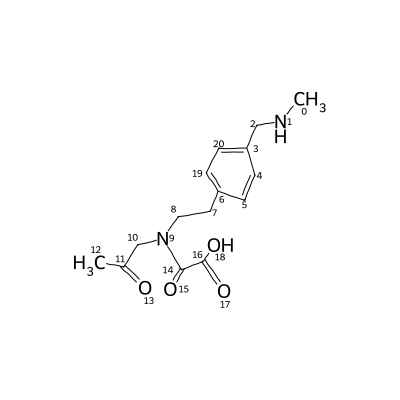 CNCc1ccc(CCN(CC(C)=O)C(=O)C(=O)O)cc1